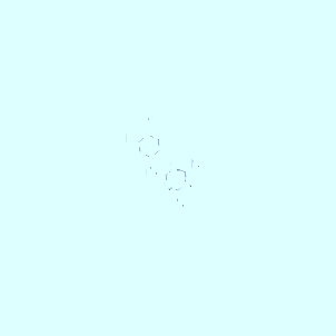 COc1ccc(Nc2nc(NC3CCCCCC3)nc(N3CCSCC3)n2)cc1Cl